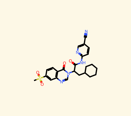 CS(=O)(=O)c1ccc2c(=O)n(C(CC3CCCCC3)C(=O)Nc3ccc(C#N)cn3)cnc2c1